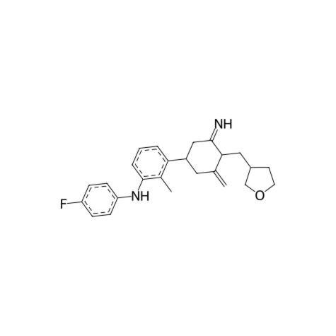 C=C1CC(c2cccc(Nc3ccc(F)cc3)c2C)CC(=N)C1CC1CCOC1